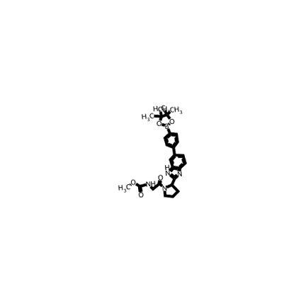 COC(=O)NCC(=O)N1CCCC1c1nc2ccc(-c3ccc(B4OC(C)(C)C(C)(C)O4)cc3)cc2[nH]1